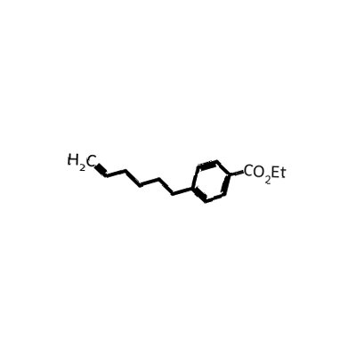 C=CCCCCc1ccc(C(=O)OCC)cc1